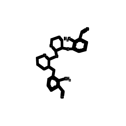 Cc1c(C=O)cccc1CC1CCCOC1OC1OCCCC1Cc1cccc(C=O)c1C